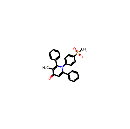 Cc1c(-c2ccccc2)n(-c2ccc(S(C)(=O)=O)cc2)c(-c2ccccc2)cc1=O